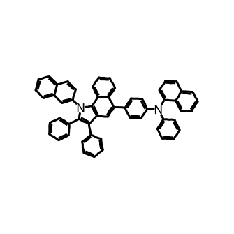 c1ccc(-c2c(-c3ccccc3)n(-c3ccc4ccccc4c3)c3c2cc(-c2ccc(N(c4ccccc4)c4cccc5ccccc45)cc2)c2ccccc23)cc1